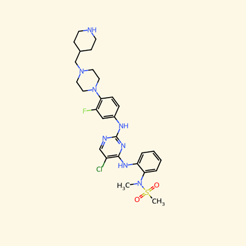 CN(c1ccccc1Nc1nc(Nc2ccc(N3CCN(CC4CCNCC4)CC3)c(F)c2)ncc1Cl)S(C)(=O)=O